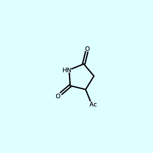 CC(=O)C1CC(=O)NC1=O